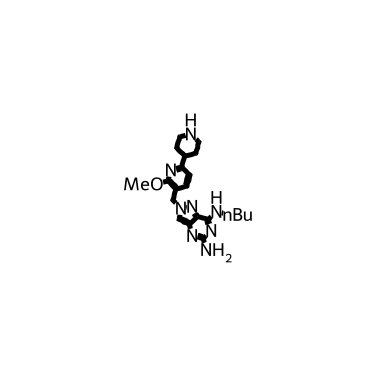 CCCCNc1nc(N)nc2cn(Cc3ccc(C4CCNCC4)nc3OC)nc12